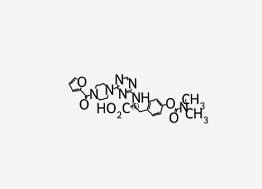 CN(C)C(=O)Oc1ccc(C[C@H](Nc2ncnc(N3CCN(C(=O)c4ccco4)CC3)n2)C(=O)O)cc1